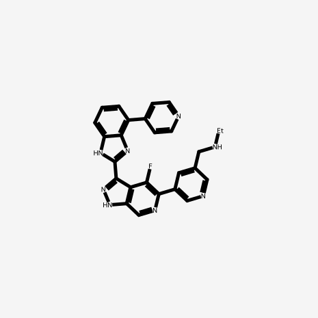 CCNCc1cncc(-c2ncc3[nH]nc(-c4nc5c(-c6ccncc6)cccc5[nH]4)c3c2F)c1